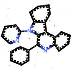 c1ccc(-c2nc3ccccc3c3c4ccccc4n(-c4ccccn4)c23)cc1